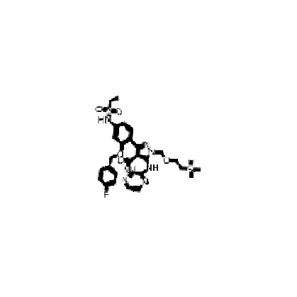 CCS(=O)(=O)Nc1ccc(-c2nn(COCC[Si](C)(C)C)c(Nc3cnccn3)c2C(N)=O)c(OCc2ccc(F)cc2)c1